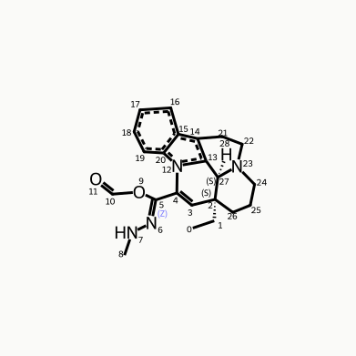 CC[C@@]12C=C(/C(=N/NC)OC=O)n3c4c(c5ccccc53)CCN(CCC1)[C@H]42